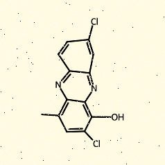 Cc1cc(Cl)c(O)c2nc3cc(Cl)ccc3nc12